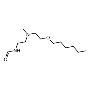 CCCCCCOCCN(C)CCNC=O